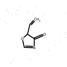 C=CC1OC=NC1=O